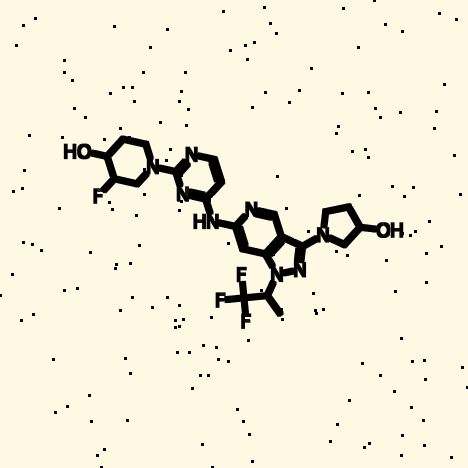 CC(n1nc(N2CCC(O)C2)c2cnc(Nc3ccnc(N4CCC(O)C(F)C4)n3)cc21)C(F)(F)F